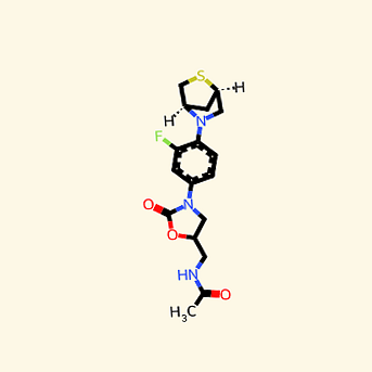 CC(=O)NCC1CN(c2ccc(N3C[C@H]4C[C@@H]3CS4)c(F)c2)C(=O)O1